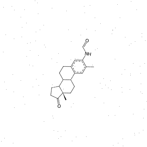 Cc1cc2c(cc1NC=O)CCC1C2CC[C@]2(C)C(=O)CCC12